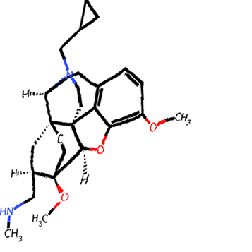 CNC[C@H]1C[C@@]23CC[C@]1(OC)[C@@H]1Oc4c(OC)ccc5c4[C@@]12CCN(CC1CC1)[C@@H]3C5